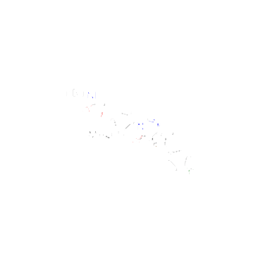 CCCCNC(=O)COc1ccc(-n2cnc3cc(-c4ccc(Cl)cc4)sc3c2=O)cc1OC